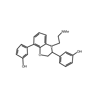 CNCCN1c2cccc(-c3cccc(O)c3)c2OCC1c1cccc(O)c1